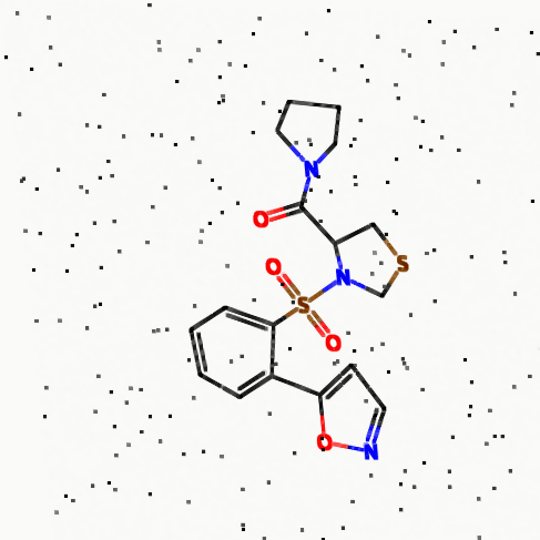 O=C(C1CSCN1S(=O)(=O)c1ccccc1-c1ccno1)N1CCCC1